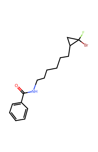 O=C(NCCCCCCC1CC1(F)Br)c1ccccc1